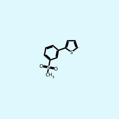 CS(=O)(=O)c1cccc(-c2cc[c]s2)c1